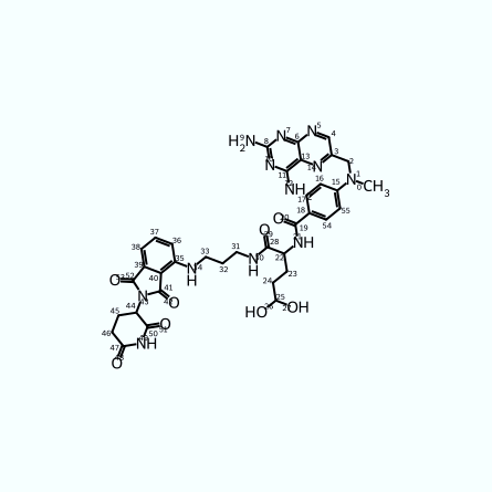 CN(Cc1cnc2nc(N)nc(N)c2n1)c1ccc(C(=O)NC(CCC(O)O)C(=O)NCCCNc2cccc3c2C(=O)N(C2CCC(=O)NC2=O)C3=O)cc1